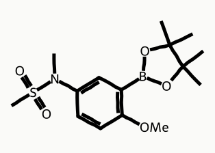 COc1ccc(N(C)S(C)(=O)=O)cc1B1OC(C)(C)C(C)(C)O1